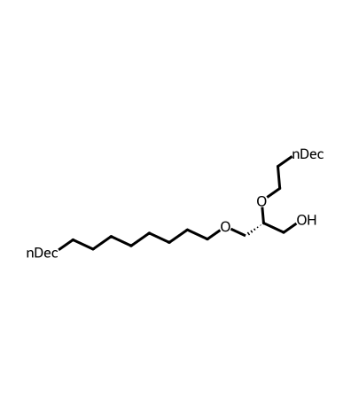 CCCCCCCCCCCCCCCCCCOC[C@@H](CO)OCCCCCCCCCCCC